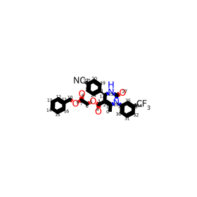 CC1=C(C(=O)OCC(=O)OCc2ccccc2)[C@@H](c2ccc(C#N)cc2)NC(=O)N1c1cccc(C(F)(F)F)c1